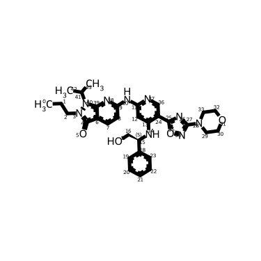 CCCn1c(=O)c2ccc(Nc3cc(N[C@H](CO)c4ccccc4)c(-c4nc(N5CCOCC5)no4)cn3)nc2n1C(C)C